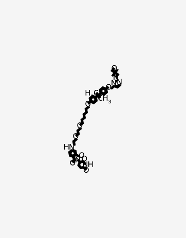 CC(C)(c1ccc(OCCCCCCCOCCCOCCCNc2ccc3c(c2)C(=O)N(C2CCC(=O)NC2=O)C3=O)cc1)c1ccc(OCc2ccnc(N3CC4(COC4)C3)n2)cc1